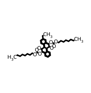 CCCCCCCCOC(=O)OC1=c2ccccc2=C2C(=O)C(OC(=O)OCCCCCCCC)=c3cc(CC)ccc3=C2C1=O